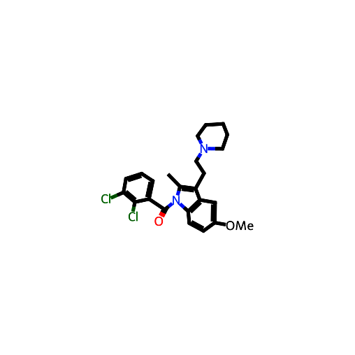 COc1ccc2c(c1)c(CCN1CCCCC1)c(C)n2C(=O)c1cccc(Cl)c1Cl